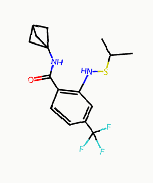 CC(C)SNc1cc(C(F)(F)F)ccc1C(=O)NC12CC(C1)C2